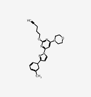 C#CCCCOc1nc(N2CCOCC2)cc(-n2ccc(C3C=CC=C(C)C3)n2)n1